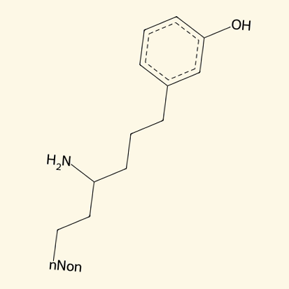 CCCCCCCCCCCC(N)CCCc1cccc(O)c1